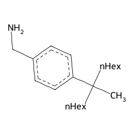 CCCCCCC(C)(CCCCCC)c1ccc(CN)cc1